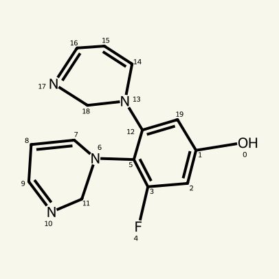 Oc1cc(F)c(N2C=CC=NC2)c(N2C=CC=NC2)c1